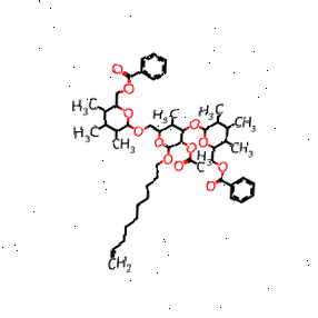 C=CCCCCCCCCOC1OC(COC2OC(COC(=O)c3ccccc3)C(C)C(C)C2C)C(C)C(OC2OC(COC(=O)c3ccccc3)C(C)C(C)C2C)C1OC(C)=O